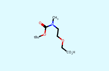 CN(CCOCC(=O)O)C(=O)OC(C)(C)C